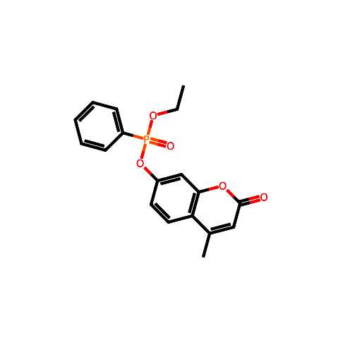 CCOP(=O)(Oc1ccc2c(C)cc(=O)oc2c1)c1ccccc1